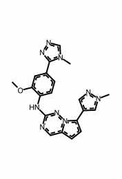 COc1cc(-c2nncn2C)ccc1Nc1ncc2ccc(-c3cnn(C)c3)n2n1